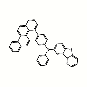 c1ccc(N(c2ccc(-c3cccc4ccc5c6ccccc6ccc5c34)cc2)c2ccc3sc4ccccc4c3c2)cc1